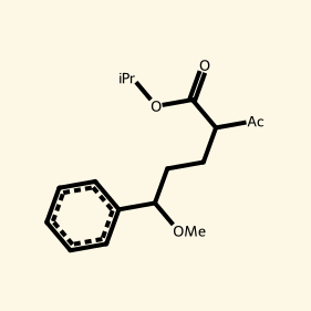 COC(CCC(C(C)=O)C(=O)OC(C)C)c1ccccc1